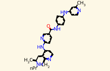 C=C(/C=c1/c(Nc2ccc(C(=O)Nc3ccc(Nc4ccnc(C)c4)cc3)cn2)ccnc1=C)NCCC